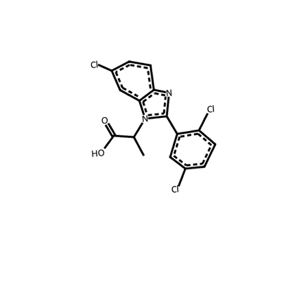 CC(C(=O)O)n1c(-c2cc(Cl)ccc2Cl)nc2ccc(Cl)cc21